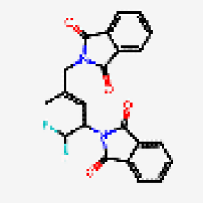 C/C(=C\C(C(F)F)N1C(=O)c2ccccc2C1=O)CN1C(=O)c2ccccc2C1=O